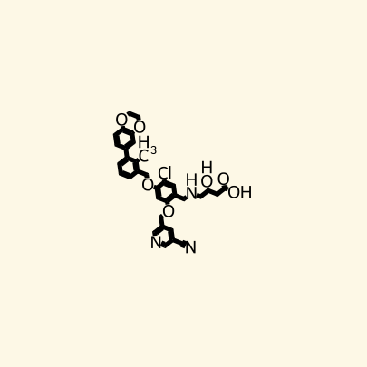 Cc1c(COc2cc(OCc3cncc(C#N)c3)c(CNC[C@@H](O)CC(=O)O)cc2Cl)cccc1-c1ccc2c(c1)OCCO2